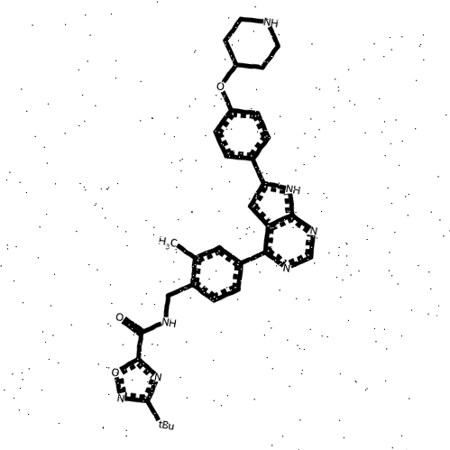 Cc1cc(-c2ncnc3[nH]c(-c4ccc(OC5CCNCC5)cc4)cc23)ccc1CNC(=O)c1nc(C(C)(C)C)no1